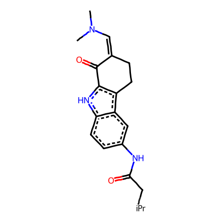 CC(C)CC(=O)Nc1ccc2[nH]c3c(c2c1)CC/C(=C/N(C)C)C3=O